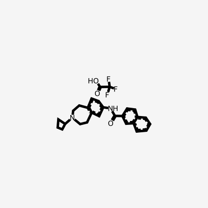 O=C(Nc1ccc2c(c1)CCN(C1CCC1)CC2)c1ccc2ccccc2c1.O=C(O)C(F)(F)F